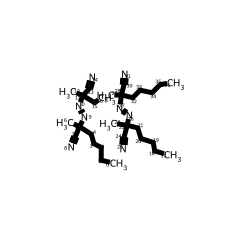 CCCCCC(C)(C#N)N=NC(C)(C#N)CC.CCCCCC(C)(C#N)N=NC(C)(C#N)CCCCC